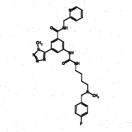 CN(CCCCNC(=O)Nc1cc(C(=O)NCc2ccccn2)cc(-c2nnnn2C)c1)Cc1ccc(F)cc1